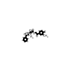 Cc1cc(C(=O)COC(=O)C(C)(C)NOC(=O)c2ccccc2)ccc1F